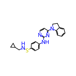 c1ccc2c(c1)CCN2c1ccnc(Nc2ccc(SNCC3CC3)cc2)n1